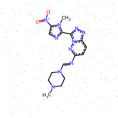 CN1CCN(C=Nc2ccc3nnc(-c4ncc([N+](=O)[O-])n4C)n3n2)CC1